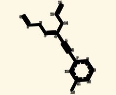 C=CCC=C(C#Cc1cccc(C)c1)CC=C